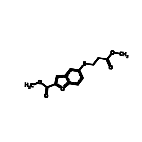 COC(=O)CCSc1ccc2oc(C(=O)OC)cc2c1